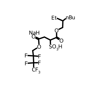 CCCCC(CC)COC(=O)C(CC(=O)OCC(F)(F)C(F)(F)C(F)(F)F)S(=O)(=O)O.[NaH]